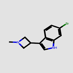 CN1CC(c2c[nH]c3cc(Br)ccc23)C1